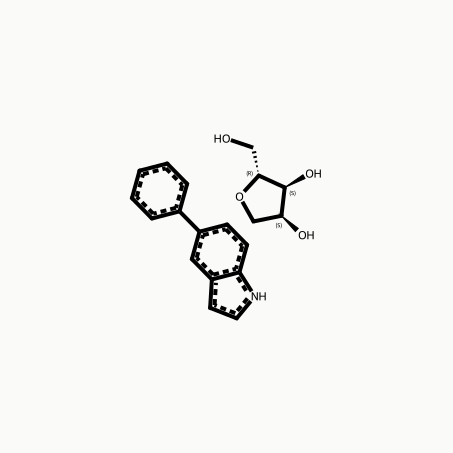 OC[C@H]1OC[C@H](O)[C@@H]1O.c1ccc(-c2ccc3[nH]ccc3c2)cc1